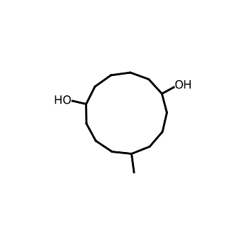 CC1CCCC(O)CCCCC(O)CCC1